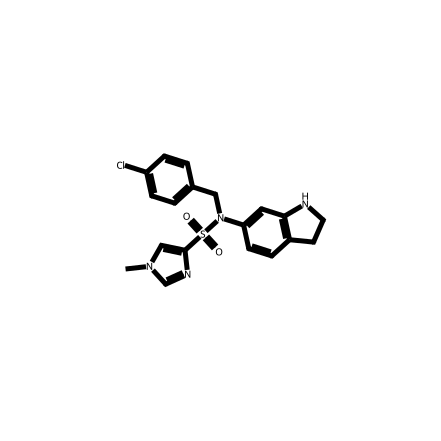 Cn1cnc(S(=O)(=O)N(Cc2ccc(Cl)cc2)c2ccc3c(c2)NCC3)c1